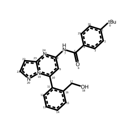 CC(C)(C)c1ccc(C(=O)Nc2cc(-c3ccccc3CO)n3nccc3n2)cc1